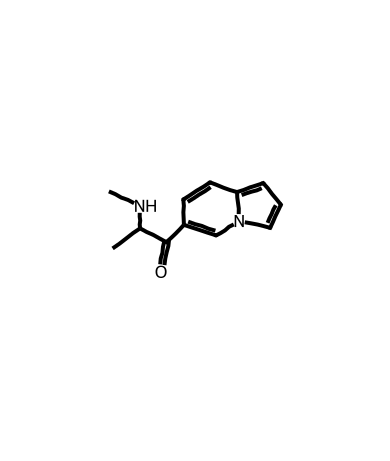 CNC(C)C(=O)c1ccc2cccn2c1